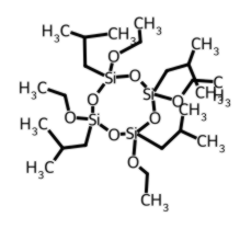 CCO[Si]1(CC(C)C)O[Si](CC(C)C)(OCC)O[Si](CC(C)C)(OCC)O[Si](CC(C)C)(OCC)O1